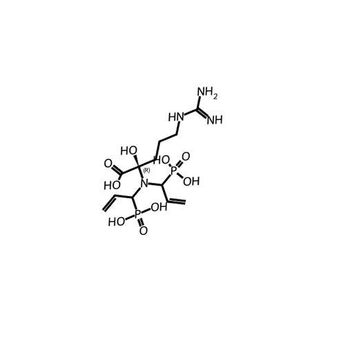 C=CC(N(C(C=C)P(=O)(O)O)[C@@](O)(CCCNC(=N)N)C(=O)O)P(=O)(O)O